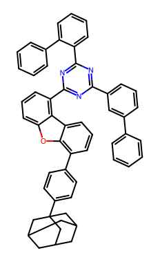 c1ccc(-c2cccc(-c3nc(-c4ccccc4-c4ccccc4)nc(-c4cccc5oc6c(-c7ccc(C89CC%10CC(CC(C%10)C8)C9)cc7)cccc6c45)n3)c2)cc1